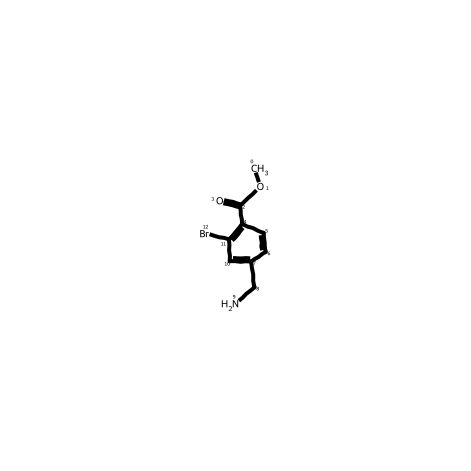 COC(=O)c1ccc(CN)cc1Br